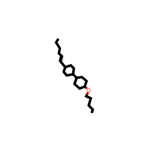 CCCC/C=C/C1CCC(C2CCC(OCCCCC)CC2)CC1